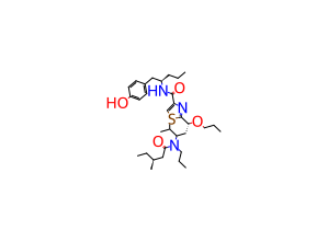 CCCO[C@H](CC(C(C)C)N(CCC)C(=O)C[C@@H](C)CC)c1nc(C(=O)N[C@H](CCC)Cc2ccc(O)cc2)cs1